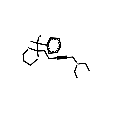 CCN(CC)CC#CCCC1(C(C)(O)c2ccccc2)SCCCS1